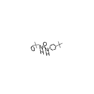 CC(C)(C=O)CNC(=O)Nc1ccc(C(C)(C)C)cc1